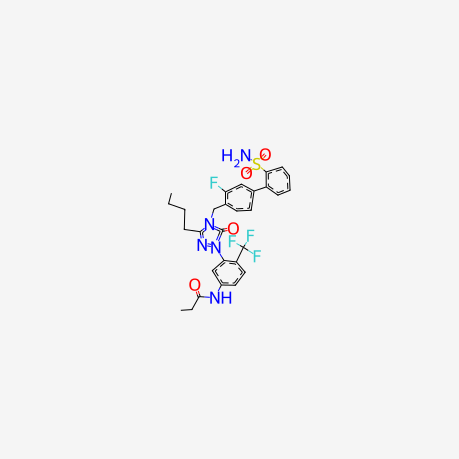 CCCCc1nn(-c2cc(NC(=O)CC)ccc2C(F)(F)F)c(=O)n1Cc1ccc(-c2ccccc2S(N)(=O)=O)cc1F